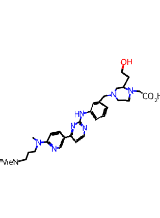 CNCCCN(C)c1ccc(-c2ccnc(Nc3cccc(CN4CCN(CC(=O)O)C(CCO)C4)c3)n2)cn1